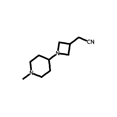 CN1CCC(N2CC(CC#N)C2)CC1